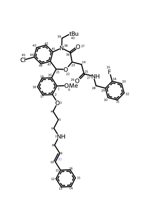 COc1c(OCCCNC/C=C/c2ccccc2)cccc1C1OC(CC(=O)NCc2ccccc2F)C(=O)N(CC(C)(C)C)c2ccc(Cl)cc21